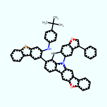 CC(C)(C)c1ccc(Nc2cc3sc4ccccc4c3cc2-c2ccc3c4cc5oc6ccccc6c5cc4n4c3c2Bc2cc3occ(-c5ccccc5)c3cc2-4)cc1